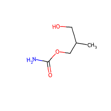 CC(CO)COC(N)=O